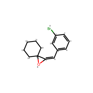 Brc1cccc(/C=C2/OC23CCCCC3)c1